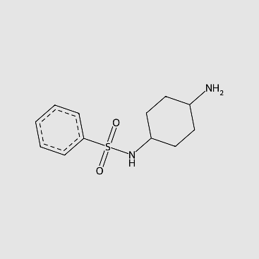 NC1CCC(NS(=O)(=O)c2ccccc2)CC1